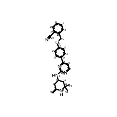 C=C1CC(Nc2nccc(-c3ccc(OCc4ccccc4C#N)cc3)n2)CC(C)(C)N1